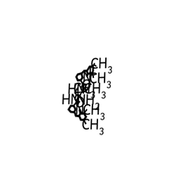 CCC(NC(=O)c1cccc2cc3cc(C)cc(C)c3nc12)C(N)C(CC)NC(=O)c1cccc2cc3cc(C)cc(C)c3nc12